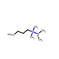 CCCCCCCC[N+](C)(C)[SiH](C)C